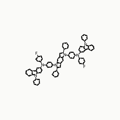 Fc1ccc(N(c2ccc(-n3c(-c4ccccc4)cc4cc5c(cc(-c6ccccc6)n5-c5ccc(N(c6ccc(F)cc6)c6ccc7c(c6)c6ccccc6n7-c6ccccc6)cc5)cc43)cc2)c2ccc3c(c2)c2ccccc2n3-c2ccccc2)cc1